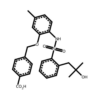 Cc1ccc(NS(=O)(=O)c2ccccc2CC(C)(C)O)c(OCc2ccc(C(=O)O)cc2)c1